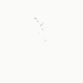 CCCCCCC[C@H]1CC[C@H]([C@H]2CC[C@@](C=C(F)C#N)(OC)CC2)CC1